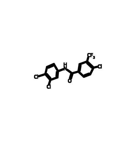 O=C(Nc1ccc(Cl)c(Cl)c1)c1ccc(Cl)c(C(F)(F)F)c1